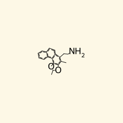 Cc1c2c(c3c(ccc4ccccc43)c1CCN)OC(C)O2